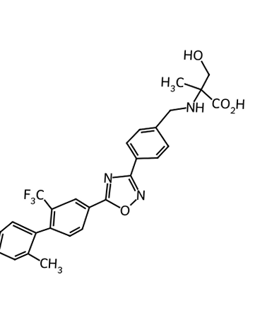 Cc1ccccc1-c1ccc(-c2nc(-c3ccc(CNC(C)(CO)C(=O)O)cc3)no2)cc1C(F)(F)F